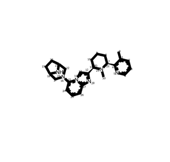 Cc1cccnc1[C@@H]1CCC[C@H](c2cn3c(N4CC5CCC(C4)N5)cccc3n2)N1C